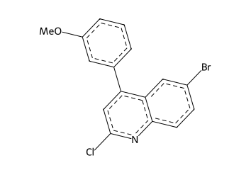 COc1cccc(-c2cc(Cl)nc3ccc(Br)cc23)c1